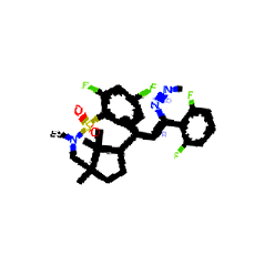 C=C(/C=C(\N=N/C)c1c(F)cccc1F)C1CCC(C)(CN(CC)S(=O)(=O)c2ccc(F)cc2F)C1(C)C